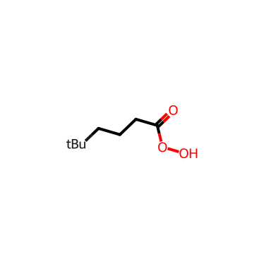 CC(C)(C)CCCC(=O)OO